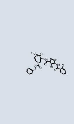 CN1C=CN(C(=O)OCc2ccccc2)C=C(NC(=O)c2n[nH]c(NC(=O)c3ccccc3Cl)c2Br)C1=O